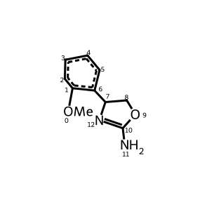 COc1ccccc1C1COC(N)=N1